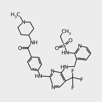 CCS(=O)(=O)Nc1ncccc1CNc1nc(Nc2ccc(C(=O)NC3CCN(C)CC3)cc2)ncc1C(F)(F)F